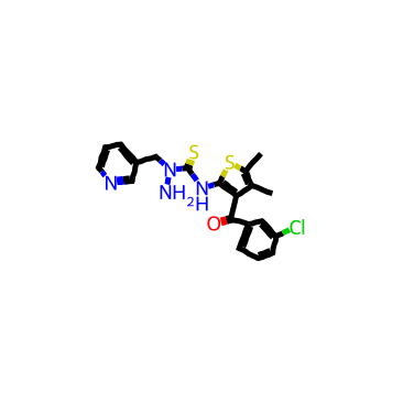 Cc1sc(NC(=S)N(N)Cc2cccnc2)c(C(=O)c2cccc(Cl)c2)c1C